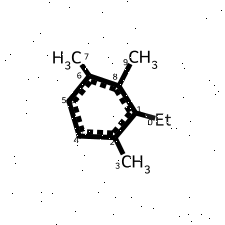 CCc1c(C)ccc(C)c1C